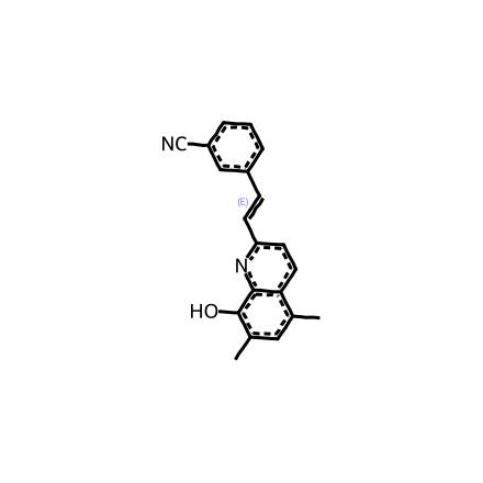 Cc1cc(C)c2ccc(/C=C/c3cccc(C#N)c3)nc2c1O